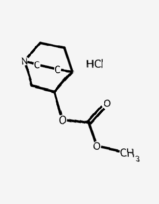 COC(=O)OC1CN2CCC1CC2.Cl